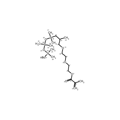 C=C(C)C(=O)OCCOCCOCC(C)C[Si](C)(C)O[Si](C)(C)O[Si](C)(C)CCCC